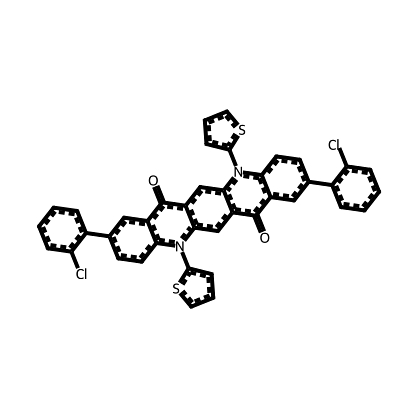 O=c1c2cc(-c3ccccc3Cl)ccc2n(-c2cccs2)c2cc3c(=O)c4cc(-c5ccccc5Cl)ccc4n(-c4cccs4)c3cc12